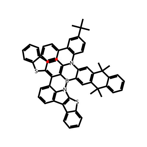 CC(C)(C)c1ccc(N2c3cc4c(cc3B3c5c2cc2c(sc6ccccc62)c5-c2cccc5c6c7ccccc7sc6n3c25)C(C)(C)c2ccccc2C4(C)C)c(-c2ccccc2)c1